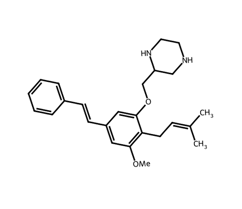 COc1cc(/C=C/c2ccccc2)cc(OCC2CNCCN2)c1CC=C(C)C